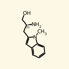 Cn1c(C[C@H](N)CO)cc2ccccc21